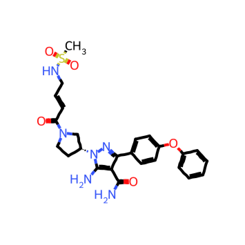 CS(=O)(=O)NC/C=C/C(=O)N1CC[C@@H](n2nc(-c3ccc(Oc4ccccc4)cc3)c(C(N)=O)c2N)C1